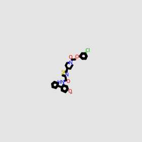 COc1ccc(-c2ccccc2)c(NC(=O)c2csc(C3CCN(C(=O)COc4cccc(Cl)c4)CC3)n2)c1